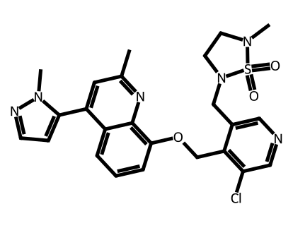 Cc1cc(-c2ccnn2C)c2cccc(OCc3c(Cl)cncc3CN3CCN(C)S3(=O)=O)c2n1